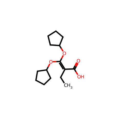 CCC(C(=O)O)=C(OC1CCCC1)OC1CCCC1